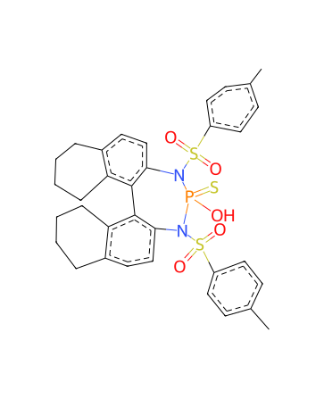 Cc1ccc(S(=O)(=O)N2c3ccc4c(c3-c3c(ccc5c3CCCC5)N(S(=O)(=O)c3ccc(C)cc3)P2(O)=S)CCCC4)cc1